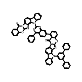 O=c1c2ccccc2oc2nc3c4c(ccc3n12)c1ccccc1n4-c1nc(-c2ccccc2)c2ccc(-c3cccc4oc5nc6c7c(ccc6n5c(=O)c34)c3ccccc3n7-c3cc(-c4ccccc4)cc(-c4ccccc4)c3)cc2n1